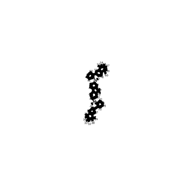 CN(c1ccc2c(c1)C(C)(C)c1cc(N(C)c3ccccc3-c3ccc4c(c3)C(C)(C)C(C)(C)C4(C)C)ccc1-2)c1ccccc1-c1ccc2c(c1)C(C)(C)C(C)(C)C2(C)C